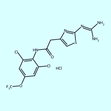 Cl.NC(N)=Nc1nc(CC(=O)Nc2c(Cl)cc(OC(F)(F)F)cc2Cl)cs1